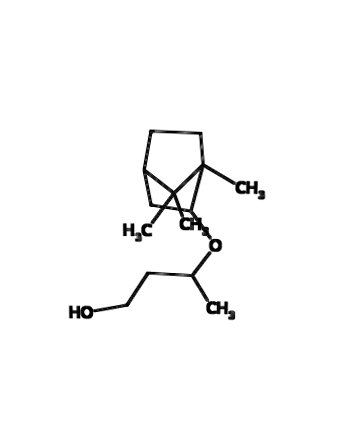 CC(CCO)OC1CC2CCC1(C)C2(C)C